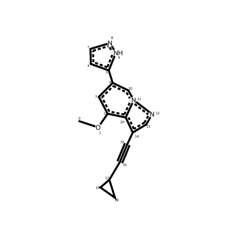 COc1cc(-c2ccn[nH]2)cn2ncc(C#CC3CC3)c12